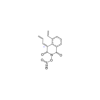 C=C/C=C1/C(=O)N(O[SH](=O)=O)C(=O)c2cccc(C=C)c21